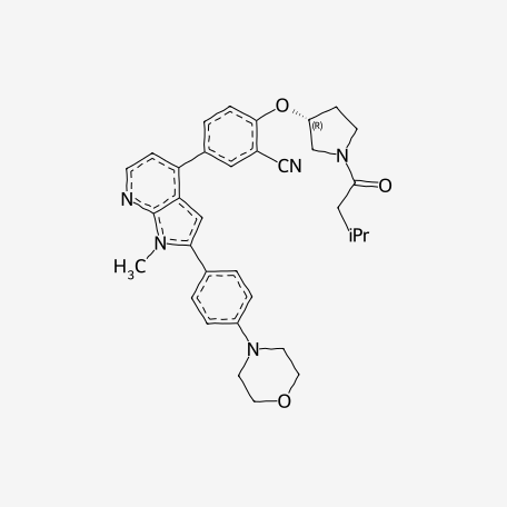 CC(C)CC(=O)N1CC[C@@H](Oc2ccc(-c3ccnc4c3cc(-c3ccc(N5CCOCC5)cc3)n4C)cc2C#N)C1